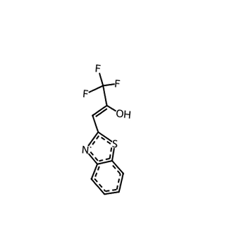 OC(=Cc1nc2ccccc2s1)C(F)(F)F